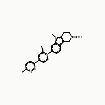 Cc1ccc(-c2ccn(-c3ccc4c5c(n(C)c4c3)CCN(C(=O)O)C5)c(=O)c2)nn1